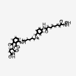 CN(CCCCCCNc1cccc2c1C(=O)N(C1CCC(=O)NC1=O)C2=O)Cc1ccc(NC(=O)CCCCCCC(=O)NO)cc1